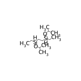 CC[SiH](CC[SiH](CC)OC(C)C)OC(C)C